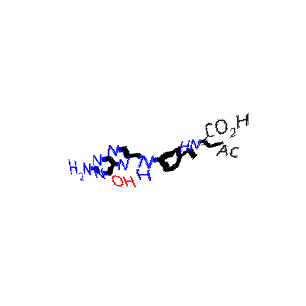 C=C(N[C@@H](CCC(C)=O)C(=O)O)c1ccc(NCc2cnc3nc(N)nc(O)c3n2)cc1